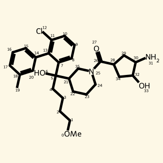 COCCCCC(O)(c1cccc(Cl)c1-c1cccc(C)c1)C1CCCN(C(=O)C2CC(N)C(O)C2)C1